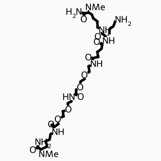 CN[C@@H](CCCCNC(=O)COCCOCCNC(=O)COCCOCCNC(=O)CCCC(=O)N[C@@H](CCCCN)C(=O)NCCCC[C@H](NC)C(N)=O)C(N)=O